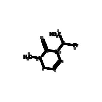 CC(C)C(C(=O)O)N1C=CCN(C)C1=O